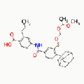 C=CCc1cc(NC(=O)c2ccc(C34CC5CC(CC(C5)C3)C4)c(SOCOC(C)OC)c2)ccc1C(=O)O